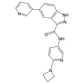 O=C(Nc1ccc(N2CCC2)nc1)c1n[nH]c2ccc(-c3cccnc3)cc12